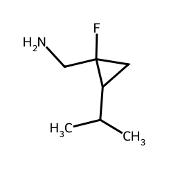 CC(C)C1CC1(F)CN